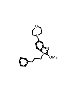 COc1nc2cc(N3CCOCC3)ccc2n1CCCc1ccccc1